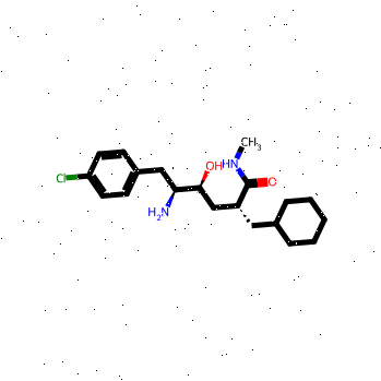 CNC(=O)[C@H](CC1CCCCC1)C[C@H](O)[C@@H](N)Cc1ccc(Cl)cc1